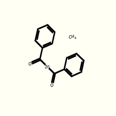 C.O=[C]([Zn][C](=O)c1ccccc1)c1ccccc1